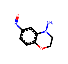 NN1CCOc2ccc(N=O)cc21